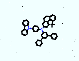 CC1(C)c2cccc3ccc4cc(N(c5ccc(-n6c7ccccc7c7ccccc76)cc5)c5cc(-c6ccccc6)cc(-c6ccccc6)c5)cc1c4c23